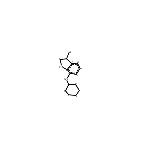 CC1COc2c(OC3CCCCC3)cccc21